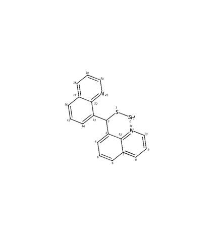 SSC(c1cccc2cccnc12)c1cccc2cccnc12